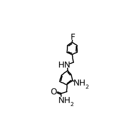 NC(=O)Cc1ccc(NCc2ccc(F)cc2)cc1N